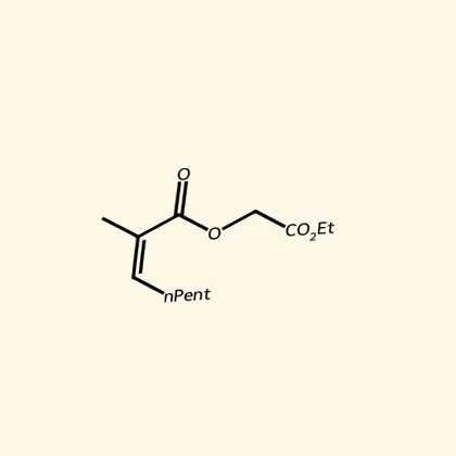 CCCCCC=C(C)C(=O)OCC(=O)OCC